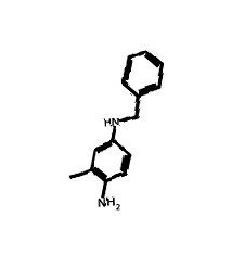 Cc1cc(NCc2ccccc2)ccc1N